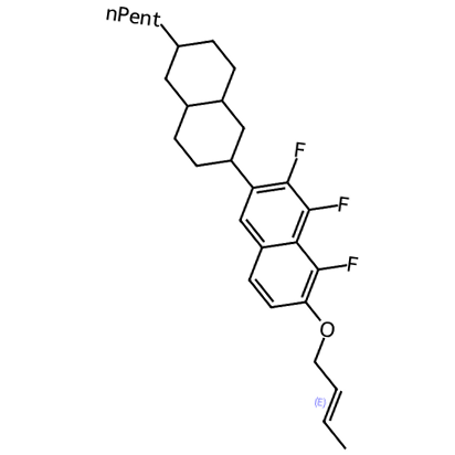 C/C=C/COc1ccc2cc(C3CCC4CC(CCCCC)CCC4C3)c(F)c(F)c2c1F